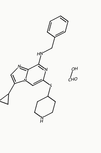 O=CO.c1ccc(CNc2nc(SC3CCNCC3)cn3c(C4CC4)cnc23)cc1